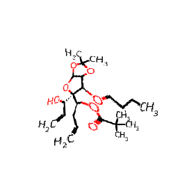 C=CC[C@H](OC(=O)C(C)(C)C)[C@@]1(C(O)C=C)OC2OC(C)(C)OC2[C@H]1OCCCC